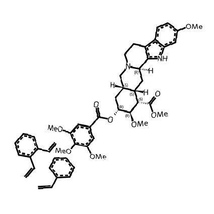 C=Cc1ccccc1.C=Cc1ccccc1C=C.COC(=O)[C@H]1[C@H]2C[C@@H]3c4[nH]c5cc(OC)ccc5c4CCN3C[C@H]2C[C@@H](OC(=O)c2cc(OC)c(OC)c(OC)c2)[C@@H]1OC